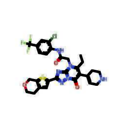 CCc1c(C2=CCNCC2)c(=O)n2nc(-c3cc4c(s3)COCC4)nc2n1CC(=O)Nc1ccc(C(F)(F)F)cc1Cl